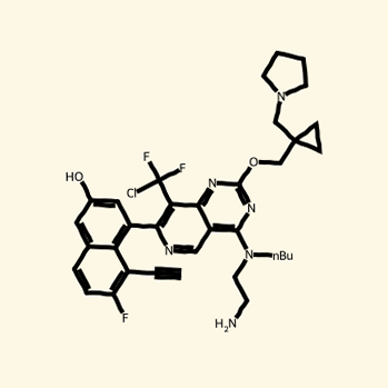 C#Cc1c(F)ccc2cc(O)cc(-c3ncc4c(N(CCN)CCCC)nc(OCC5(CN6CCCC6)CC5)nc4c3C(F)(F)Cl)c12